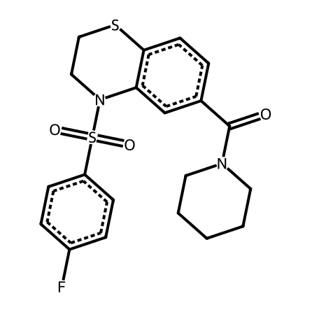 O=C(c1ccc2c(c1)N(S(=O)(=O)c1ccc(F)cc1)CCS2)N1CCCCC1